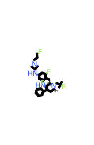 C[C@@H]1Cc2c([nH]c3ccccc23)[C@@H](Cc2c(F)cc(NC3CN(CCCF)C3)cc2F)N1CC(C)(C)F